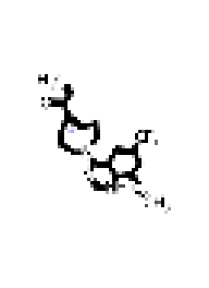 C=C=C1CC(C(F)(F)F)=CC2=C(N3CC/C=C(\C(=O)C=C)CCC3)N=CNC12